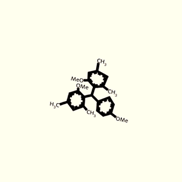 COc1ccc(C(c2c(C)cc(C)cc2OC)c2c(C)cc(C)cc2OC)cc1